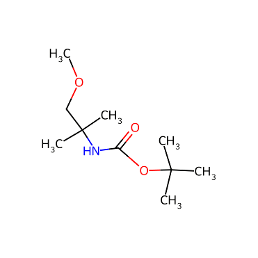 COCC(C)(C)NC(=O)OC(C)(C)C